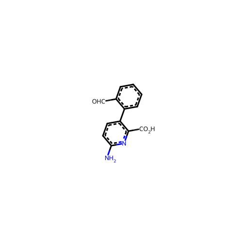 Nc1ccc(-c2ccccc2C=O)c(C(=O)O)n1